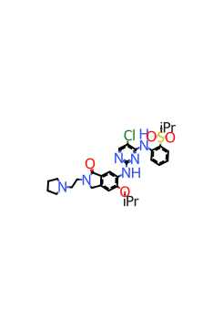 CC(C)Oc1cc2c(cc1Nc1ncc(Cl)c(Nc3ccccc3S(=O)(=O)C(C)C)n1)C(=O)N(CCN1CCCC1)C2